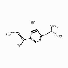 C/C=C(\C)c1ccc(C(C)C(=O)[O-])cc1.[Na+]